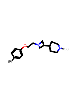 CC(C)c1ccc(OCCN2CC(C3CCN(C(C)(C)C)CC3)C2)cc1